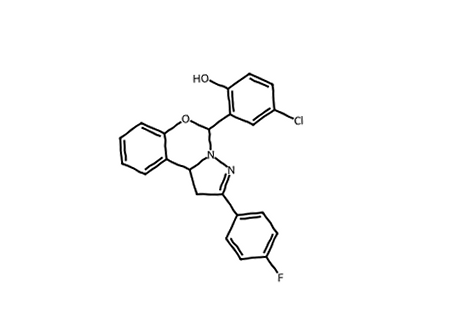 Oc1ccc(Cl)cc1C1Oc2ccccc2C2CC(c3ccc(F)cc3)=NN21